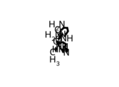 CCCNC(=O)C(Cc1cnc[nH]1)NP(N)(=O)N1CCC[C@H](N)C1=O